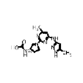 Cc1cc(Nc2cc(C)[nH]n2)nc(N2CC[C@H](NC(=O)O)C2)n1